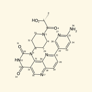 C[C@@H](O)C(=O)N1CCC(n2c(=O)[nH]c(=O)c3cnc4ccc(-c5ccc(N)nc5)nc4c32)CC1